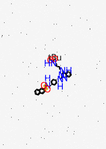 CC(C)(C)OC(=O)NCCCCNc1nc(NC[C@H]2CC[C@H](CNS(=O)(=O)c3ccc4ccccc4c3)CC2)nc2ccccc12